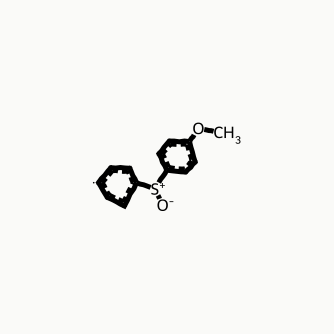 COc1ccc([S+]([O-])c2cc[c]cc2)cc1